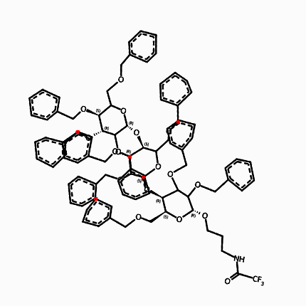 O=C(NCCCO[C@@H]1O[C@@H](COCc2ccccc2)[C@@H](O[C@@H]2OC(COCc3ccccc3)[C@H](O[C@H]3OC(COCc4ccccc4)[C@H](OCc4ccccc4)[C@@H](OCc4ccccc4)C3OCc3ccccc3)[C@@H](OCc3ccccc3)C2OCc2ccccc2)C(OCc2ccccc2)C1OCc1ccccc1)C(F)(F)F